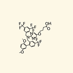 COc1ccc(OC)c(-c2ccc(C(F)(F)F)cc2CN(Cc2cc(C(F)(F)F)cc(C(F)(F)F)c2)c2ncc(OCCCC(=O)O)cn2)c1